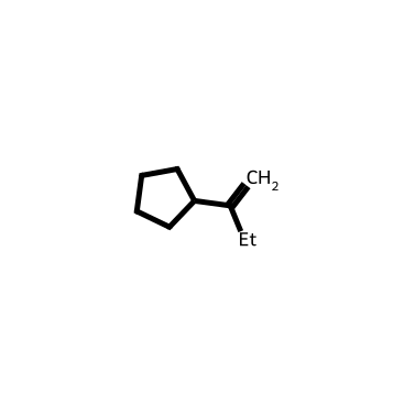 C=C(CC)C1CCCC1